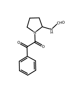 O=CNC1CCCN1C(=O)C(=O)c1ccccc1